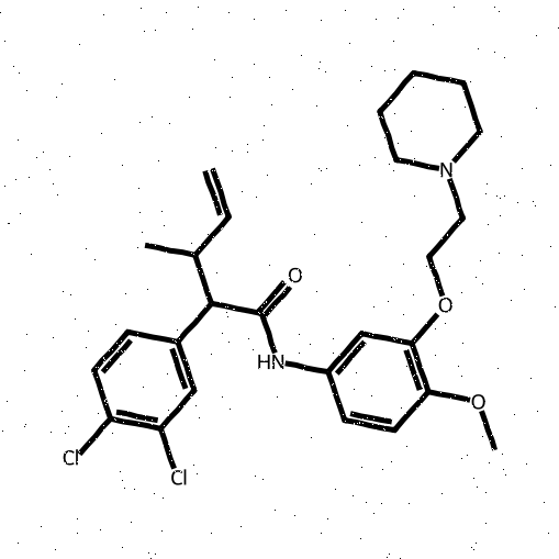 C=CC(C)C(C(=O)Nc1ccc(OC)c(OCCN2CCCCC2)c1)c1ccc(Cl)c(Cl)c1